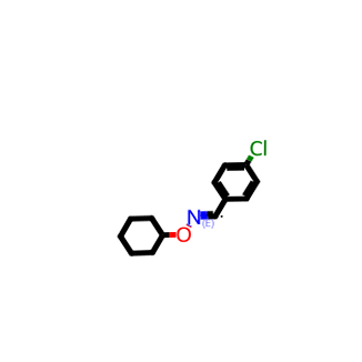 Clc1ccc(/[C]=N/OC2CCCCC2)cc1